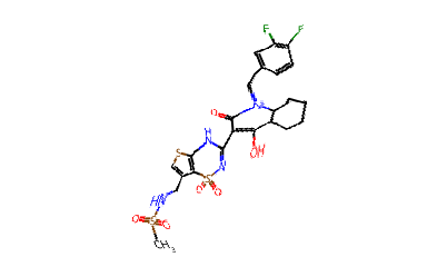 CS(=O)(=O)NCc1csc2c1S(=O)(=O)N=C(C1=C(O)C3CCCCC3N(Cc3ccc(F)c(F)c3)C1=O)N2